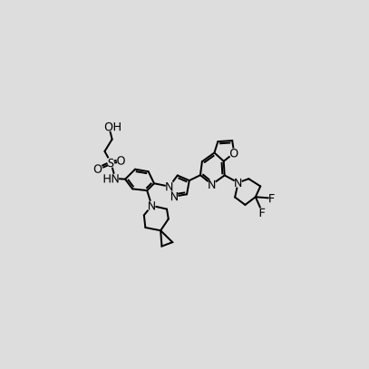 O=S(=O)(CCO)Nc1ccc(-n2cc(-c3cc4ccoc4c(N4CCC(F)(F)CC4)n3)cn2)c(N2CCC3(CC2)CC3)c1